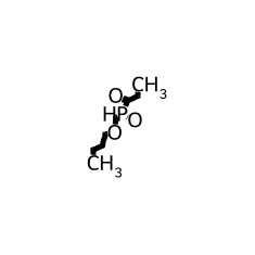 CCCCOC[PH](=O)C(=O)CC